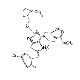 C=CC(=O)N1C[C@H](C)N(c2nc(OC[C@@H]3CCCN3C)nc3c2CN(Cc2cc(O)ccc2F)C3)C[C@H]1C